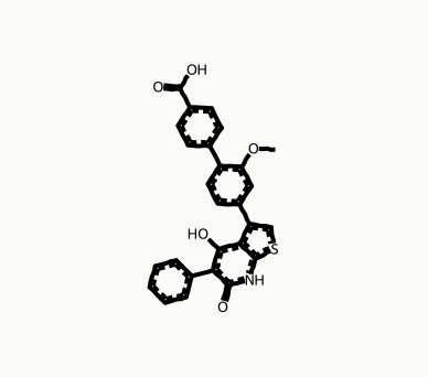 COc1cc(-c2csc3[nH]c(=O)c(-c4ccccc4)c(O)c23)ccc1-c1ccc(C(=O)O)cc1